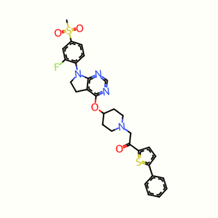 CS(=O)(=O)c1ccc(N2CCc3c(OC4CCN(CC(=O)c5ccc(-c6ccccc6)s5)CC4)ncnc32)c(F)c1